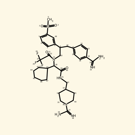 CS(=O)(=O)c1cccc(C(Cc2ccc(C(=N)N)cc2)CN(C(=O)C(F)(F)F)C(C(=O)NCC2CCN(C(=N)N)CC2)C2CCCCC2)c1